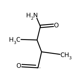 CC([C]=O)C(C)C(N)=O